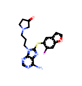 Nc1ncnc2c1nc(Sc1cc3ccoc3cc1I)n2CCCN1CCC(=O)C1